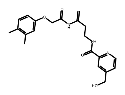 C=C(CCNC(=O)c1cc(CO)ccn1)NC(=O)COc1ccc(C)c(C)c1